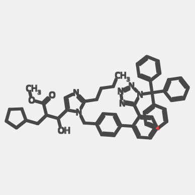 CCCCc1ncc(C(O)C(CC2CCCC2)C(=O)OC)n1Cc1ccc(-c2ccccc2-c2nnnn2C(c2ccccc2)(c2ccccc2)c2ccccc2)cc1